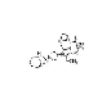 C=Cc1c(/C=C\C)nc(C[C@@H]2CCCN2CC(=O)O)n1C1CCN([C@@H]2C[C@@H]3CCCC[C@@H](C3)C2)CC1